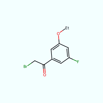 CCOc1cc(F)cc(C(=O)CBr)c1